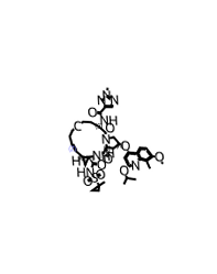 COc1ccc2c(O[C@@H]3C[C@H]4C(=O)N[C@]5(C(=O)NS(=O)(=O)C6(C)CC6)C[C@H]5/C=C\CCCCC[C@H](NC(=O)c5cnn(C)n5)C(=O)N4C3)cc(OC(C)C)nc2c1C